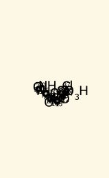 N=C1OCCN1c1ccc(N2C(=O)c3cccc(N(CS(=O)(=O)O)C(=O)c4ccc(Cl)s4)c3C2=O)cc1